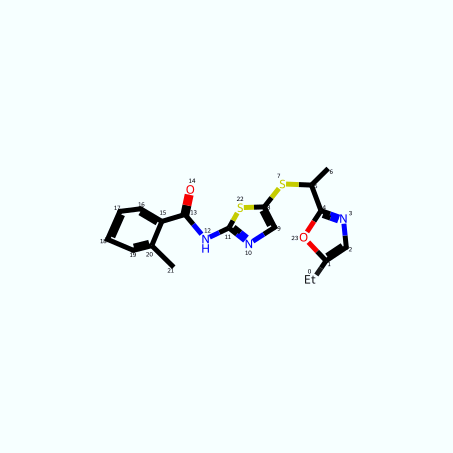 CCc1cnc(C(C)Sc2cnc(NC(=O)c3ccccc3C)s2)o1